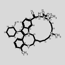 Cc1cccc2c1OCC1CCCN(C)CCN(C)S(=O)(=O)NC(=O)c3ccc4c([C@H]5CCCC[C@@H]5F)c-2n(c4c3)C1